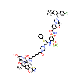 C[C@H](C(=O)N[C@@H]1C[C@@H](O)CN1C(=O)[C@@H](NC(=O)CCCCCCC(=O)N1CCN(CC[C@H](CSc2ccccc2)Nc2ccc(S(=O)(=O)NC(=O)c3ccc4c(c3)OC[C@@H]3CN(CC5=C(c6ccc(Cl)cc6)CCC(C)(C)C5)CCN43)cc2S(=O)(=O)C(F)(F)F)CC1)C(C)(C)C)c1ccc2c(c1)OCc1ncsc1-2